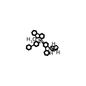 CC1(C)c2ccccc2-c2cccc(N(c3ccc(-c4ccccc4)cc3)c3ccc4c(c3)-c3ccccc3[C@@]43C4C[C@H]5C6C[C@H]4C5[C@H]3C6)c21